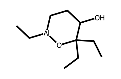 C[CH2][Al]1[CH2]CC(O)C(CC)(CC)[O]1